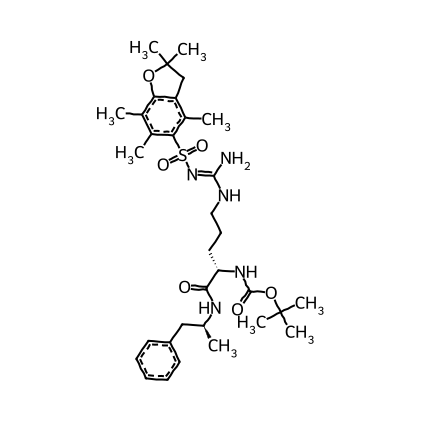 Cc1c(C)c(S(=O)(=O)/N=C(\N)NCCC[C@H](NC(=O)OC(C)(C)C)C(=O)N[C@@H](C)Cc2ccccc2)c(C)c2c1OC(C)(C)C2